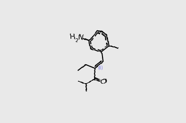 CC/C(=C\c1cc(N)ccc1C)C(=O)C(C)C